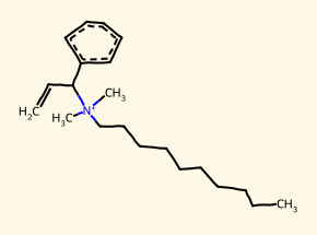 C=CC(c1ccccc1)[N+](C)(C)CCCCCCCCCC